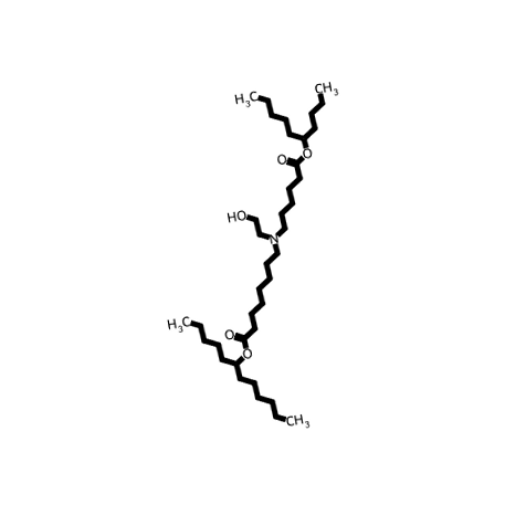 CCCCCCC(CCCCC)OC(=O)CCCCCCCN(CCO)CCCCCC(=O)OC(CCCC)CCCCC